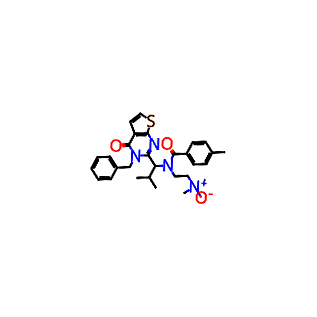 Cc1ccc(C(=O)N(CC[N+](C)(C)[O-])C(c2nc3sccc3c(=O)n2Cc2ccccc2)C(C)C)cc1